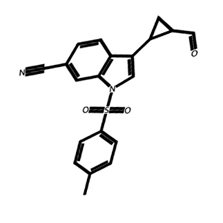 Cc1ccc(S(=O)(=O)n2cc(C3CC3C=O)c3ccc(C#N)cc32)cc1